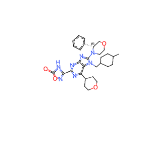 CC1CCC(Cn2c(N3CCOC[C@H]3c3ccccc3)nc3nc(-c4noc(=O)[nH]4)nc(C4CCOCC4)c32)CC1